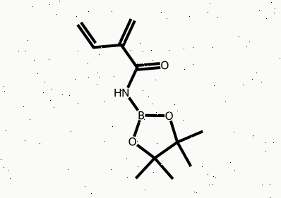 C=CC(=C)C(=O)NB1OC(C)(C)C(C)(C)O1